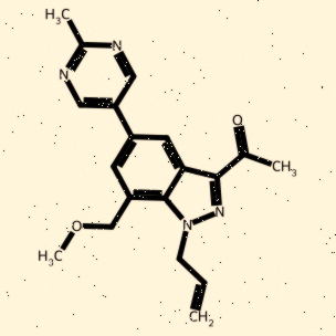 C=CCn1nc(C(C)=O)c2cc(-c3cnc(C)nc3)cc(COC)c21